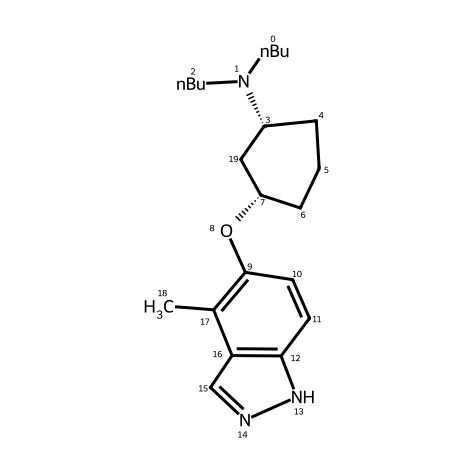 CCCCN(CCCC)[C@@H]1CCC[C@H](Oc2ccc3[nH]ncc3c2C)C1